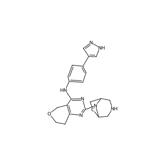 c1cc(-c2cn[nH]c2)ccc1Nc1nc(N2C3CCC2CNC3)nc2c1COCC2